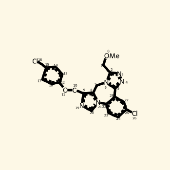 COCc1nnc2n1Cc1c(COc3ccc(Cl)cc3)ncn1-c1ccc(Cl)cc1-2